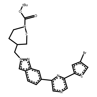 CC(C)(C)OC(=O)N1CCC(Cn2cc3ccc(-c4cncc(-c5cc(Br)cs5)n4)cc3n2)CC1